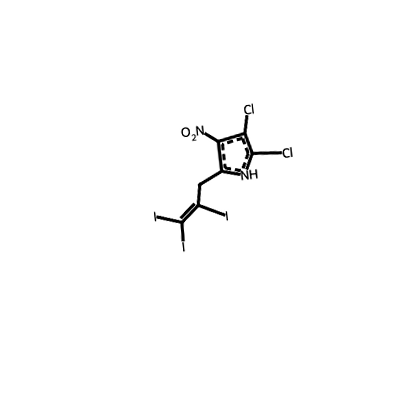 O=[N+]([O-])c1c(CC(I)=C(I)I)[nH]c(Cl)c1Cl